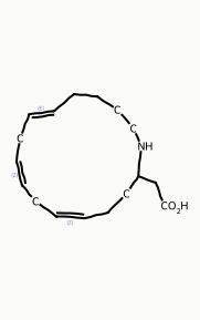 O=C(O)CC1CC/C=C\C/C=C\C/C=C/CCCCN1